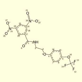 O=C(NCCOc1ccc(OC(F)(F)F)cc1)c1cc([N+](=O)[O-])cc([N+](=O)[O-])c1